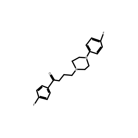 O=C(CCCN1CCN(c2ccc(F)cc2)CC1)c1ccc(F)cc1